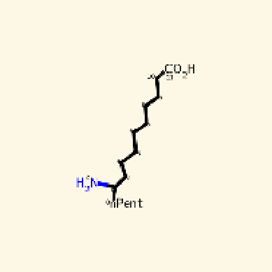 CCCCCC(N)CCCCCCCCC(=O)O